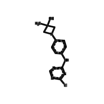 CC1(O)CN(c2ccc(Nc3ncnc(Cl)n3)cc2)C1